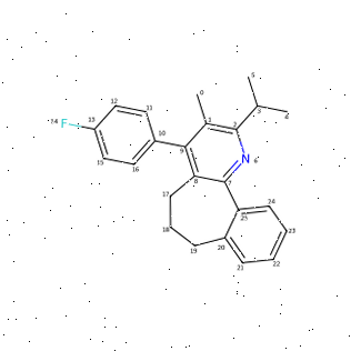 Cc1c(C(C)C)nc2c(c1-c1ccc(F)cc1)CCCc1ccccc1-2